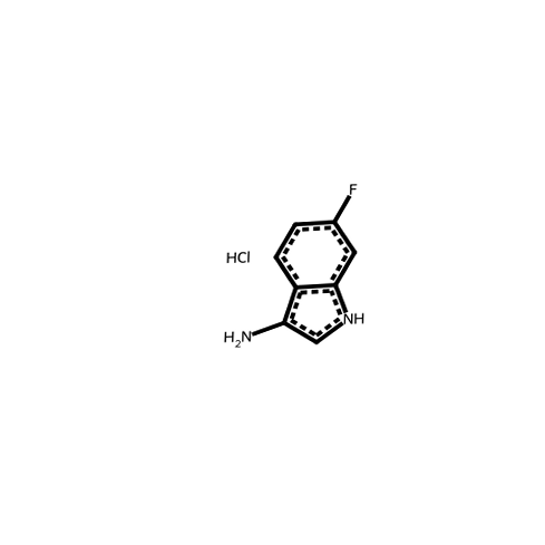 Cl.Nc1c[nH]c2cc(F)ccc12